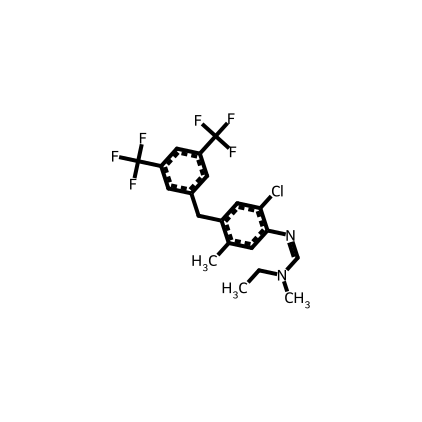 CCN(C)/C=N\c1cc(C)c(Cc2cc(C(F)(F)F)cc(C(F)(F)F)c2)cc1Cl